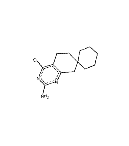 Nc1nc(Cl)c2c(n1)CC1(CCCCC1)CC2